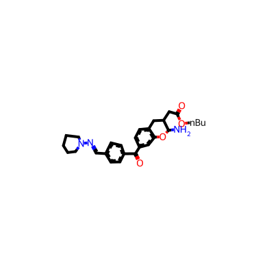 CCCCOC(=O)CC1Cc2ccc(C(=O)c3ccc(C=NN4CCCCC4)cc3)cc2OC1N